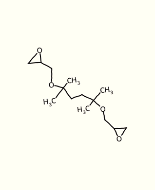 CC(C)(CCC(C)(C)OCC1CO1)OCC1CO1